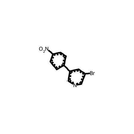 O=[N+]([O-])c1ccc(-c2[c]ncc(Br)c2)cc1